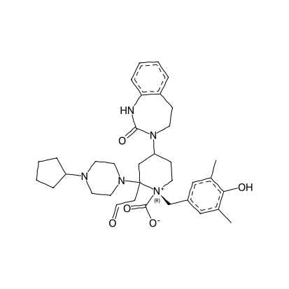 Cc1cc(C[N@+]2(C(=O)[O-])CCC(N3CCc4ccccc4NC3=O)CC2(CC=O)N2CCN(C3CCCC3)CC2)cc(C)c1O